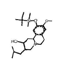 COc1cc2c(cc1O[Si](C)(C)C(C)(C)C)C1CC(O)C(CC(C)C)CN1CC2